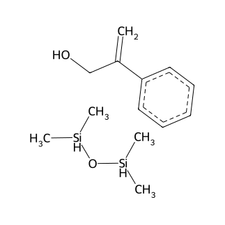 C=C(CO)c1ccccc1.C[SiH](C)O[SiH](C)C